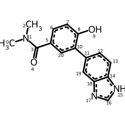 CN(C)C(=O)c1ccc(O)c(-c2ccc3[nH]cnc3c2)c1